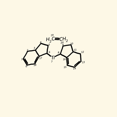 C1=CCC2CC[CH]([Ti][CH]3CCC4CC=CC=C43)C2=C1.C=C